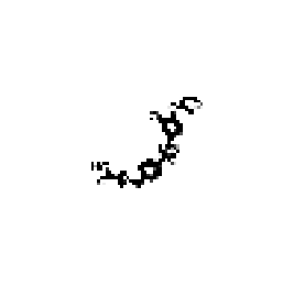 O=C(O)C1CN(Cc2ccc(-c3nc(-c4ccc(O[C@H]5CCOC5)c(Cl)c4)no3)cc2)C1